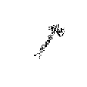 CCCC(CCC)c1ccc(OCc2ccc(-c3ccc(CN(CC(=O)O)C(C)c4nc5ccccc5[nH]4)s3)cc2)cc1